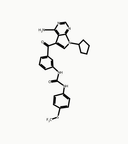 Nc1ncnc2c1c(C(=O)c1cccc(NC(=O)Nc3ccc(SC(F)(F)F)cc3)c1)cn2C1CCCC1